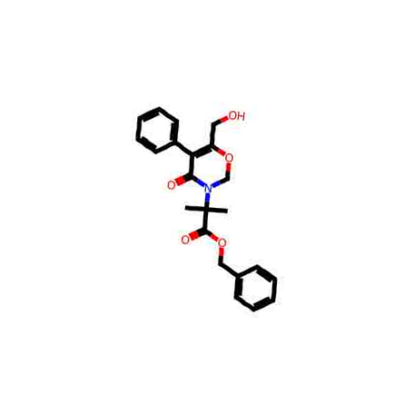 CC(C)(C(=O)OCc1ccccc1)N1COC(CO)=C(c2ccccc2)C1=O